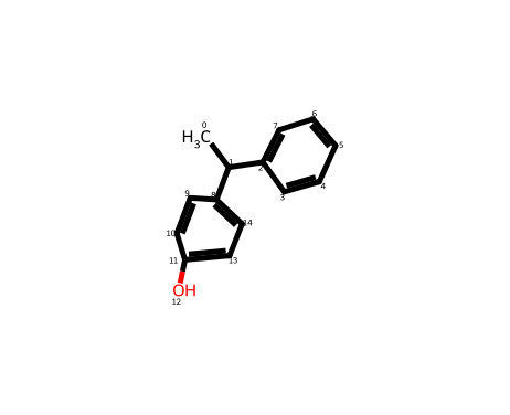 CC(c1[c]cccc1)c1ccc(O)cc1